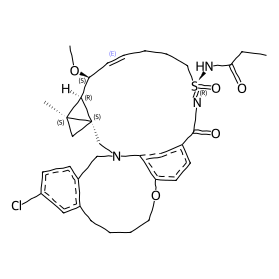 CCC(=O)N[S@@]1(=O)=NC(=O)c2ccc3c(c2)N(Cc2ccc(Cl)cc2CCCCO3)C[C@]23C[C@@]2(C)[C@H]3[C@@H](OC)/C=C/CCC1